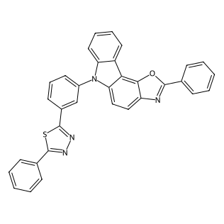 c1ccc(-c2nc3ccc4c(c5ccccc5n4-c4cccc(-c5nnc(-c6ccccc6)s5)c4)c3o2)cc1